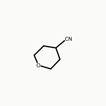 N#C[C]1CCOCC1